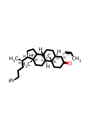 C/C=C\[C@@H]1C(=O)CC[C@]2(C)[C@H]3CC[C@]4(C)[C@@H]([C@H](C)CCCC(C)C)CC[C@H]4[C@@H]3CC[C@@H]12